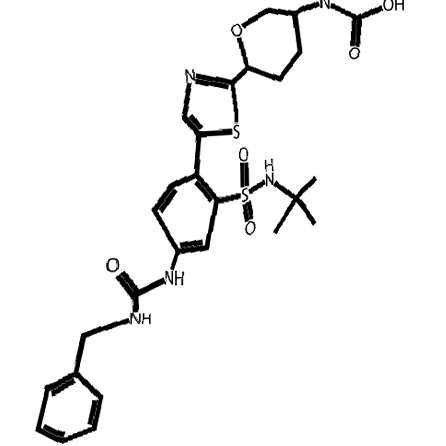 CC(C)(C)NS(=O)(=O)c1cc(NC(=O)NCc2ccccc2)ccc1-c1cnc(C2CCC(NC(=O)O)CO2)s1